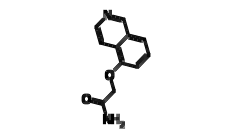 NC(=O)COc1cccc2cnccc12